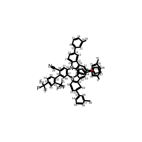 Cc1cccc(-c2ccc3c(c2)c2cc(-c4cccc(C)c4)ccc2n3-c2cc(C#N)c(-c3ccc(C(F)(F)F)cc3C(F)(F)F)cc2-n2c3ccc(-c4cccc(C)c4)cc3c3cc(-c4cccc(C)c4)ccc32)c1